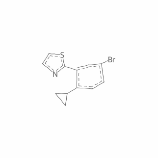 Brc1ccc(C2CC2)c(-c2nccs2)c1